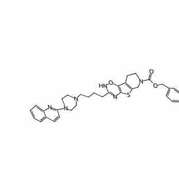 O=C(OCc1ccccc1)N1CCc2c(sc3c2ONC(CCCCN2CCN(c4ccc5ccccc5n4)CC2)=N3)C1